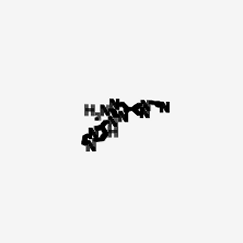 N#CCn1cc(-c2cnc(N)c(NCc3ccc4nccn4c3)n2)cn1